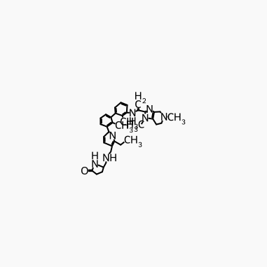 C=C(Nc1cccc(-c2cccc(-c3ccc(CNCC4CCC(=O)N4)c(CC)n3)c2C)c1C)c1nc2c(n1C)CCN(C)C2